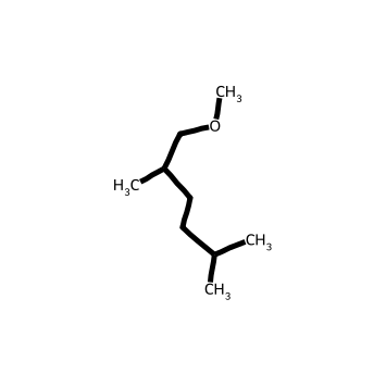 COCC(C)CCC(C)C